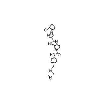 CN1CCN(CCc2ccc(NC(=O)c3ccc4nc(-c5cnn(-c6ccccc6Cl)c5)[nH]c4c3)cc2)CC1